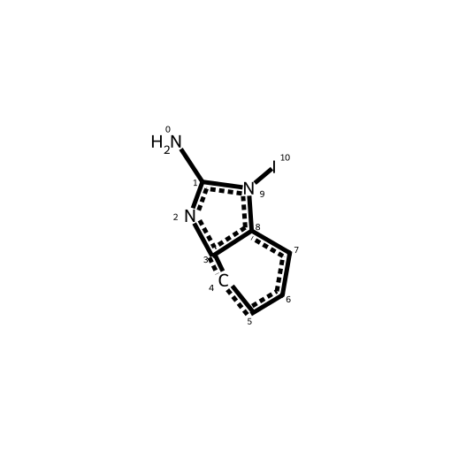 Nc1nc2ccccc2n1I